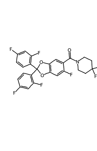 O=C(c1cc2c(cc1F)OC(c1ccc(F)cc1F)(c1ccc(F)cc1F)O2)N1CCC(F)(F)CC1